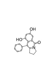 O=c1c2cc(O)cc(O)c2c(-c2ccccc2)c2n1CCC2